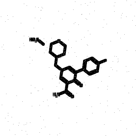 CS(=O)(=O)O.Cc1ccc(-c2cn(CC3CCOCC3)cc(C(N)=O)c2=O)cc1